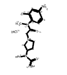 CCCCC(=O)N(CCC)C1CCN(CC(=O)N(C)c2ccc(N)cc2Cl)C1.Cl